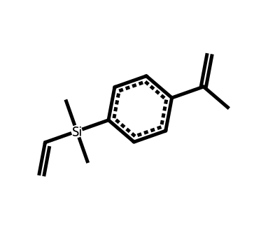 C=C[Si](C)(C)c1ccc(C(=C)C)cc1